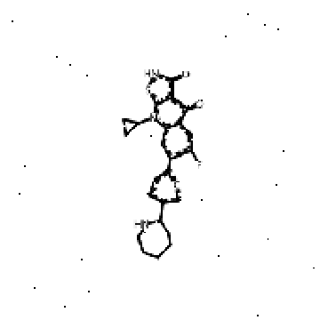 O=c1[nH]sc2c1c(=O)c1cc(F)c(-c3ccc(C4CCCCCN4)cc3)cc1n2C1CC1